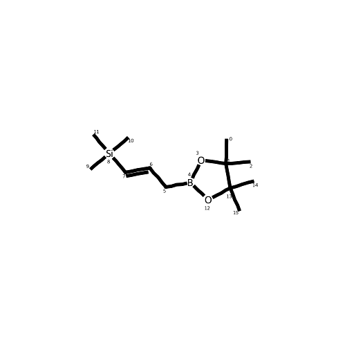 CC1(C)OB(CC=C[Si](C)(C)C)OC1(C)C